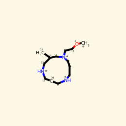 COCCN1CCCNCCCNCC(C)C1